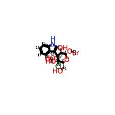 OC[C@H]1O[C@@H](OBr)[C@H](O)[C@](O)(c2c[nH]c3ccccc23)[C@]1(O)Cl